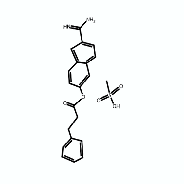 CS(=O)(=O)O.N=C(N)c1ccc2cc(OC(=O)CCc3ccccc3)ccc2c1